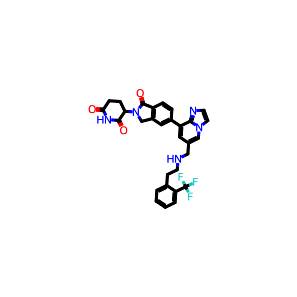 O=C1CCC(N2Cc3cc(-c4cc(CNCCc5ccccc5C(F)(F)F)cn5ccnc45)ccc3C2=O)C(=O)N1